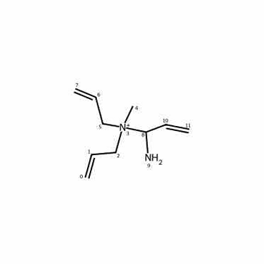 C=CC[N+](C)(CC=C)C(N)C=C